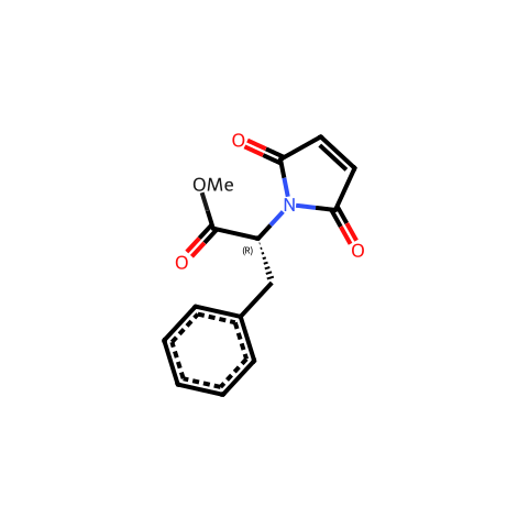 COC(=O)[C@@H](Cc1ccccc1)N1C(=O)C=CC1=O